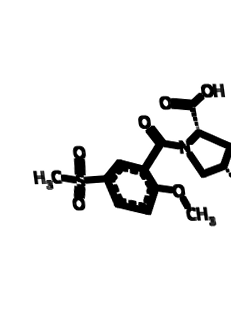 COc1ccc(S(C)(=O)=O)cc1C(=O)N1C[C@@H](F)C[C@H]1C(=O)O